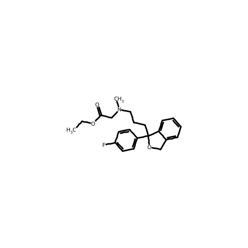 CCOC(=O)CN(C)CCCC1(c2ccc(F)cc2)OCc2ccccc21